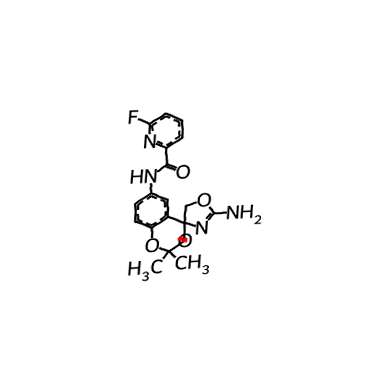 CC1(C)Oc2ccc(NC(=O)c3cccc(F)n3)cc2C2(COC(N)=N2)C12COC2